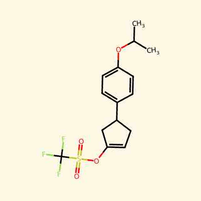 CC(C)Oc1ccc(C2CC=C(OS(=O)(=O)C(F)(F)F)C2)cc1